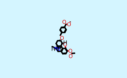 COC(=O)c1ccc(CO[C@H]2CC[C@H]3[C@H]4Cc5ccc(OC(C)=O)c6c5[C@@]3(CCN4C)[C@H]2O6)cc1